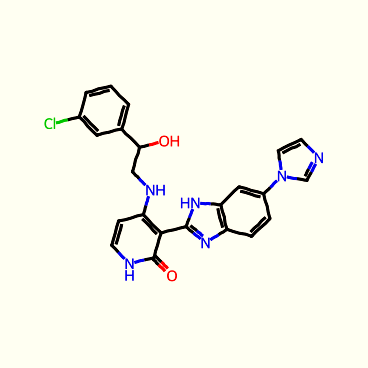 O=c1[nH]ccc(NCC(O)c2cccc(Cl)c2)c1-c1nc2ccc(-n3ccnc3)cc2[nH]1